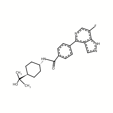 CC(C)(O)[C@H]1CC[C@H](NC(=O)c2ccc(-c3ncc(F)c4[nH]ncc34)cc2)CC1